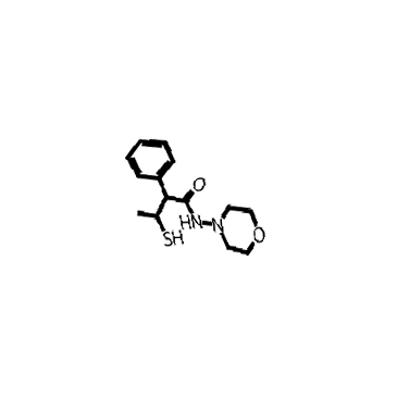 CC(S)C(C(=O)NN1CCOCC1)c1ccccc1